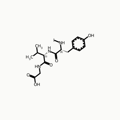 CC(C)[C@H](NC(=O)[C@@H](Cc1ccc(O)cc1)NI)C(=O)NCC(=O)O